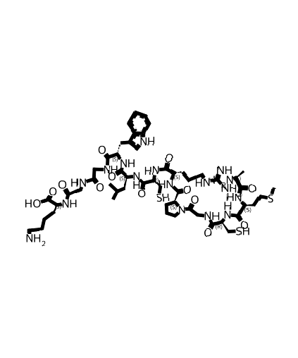 CSCC[C@H](NC(=O)[C@H](C)N)C(=O)N[C@@H](CS)C(=O)NCC(=O)N1CCC[C@H]1C(=O)N[C@@H](CCCNC(=N)N)C(=O)N[C@@H](CS)C(=O)N[C@@H](CC(C)C)C(=O)N[C@@H](Cc1c[nH]c2ccccc12)C(=O)NCC(=O)NCC(=O)N[C@@H](CCCCN)C(=O)O